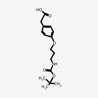 CC(C)(C)OC(=O)NCCCOc1ccc(CC(=O)O)cc1